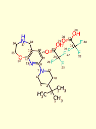 CC(C)(C)C1CCN(c2ccc3c(n2)OCCNC3)CC1.O=C(O)C(F)(F)F.O=C(O)C(F)(F)F